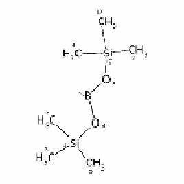 C[Si](C)(C)O[B]O[Si](C)(C)C